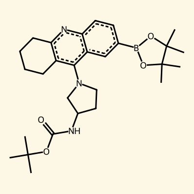 CC(C)(C)OC(=O)NC1CCN(c2c3c(nc4ccc(B5OC(C)(C)C(C)(C)O5)cc24)CCCC3)C1